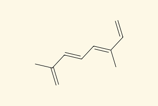 C=CC(C)=CC=CC(=C)C